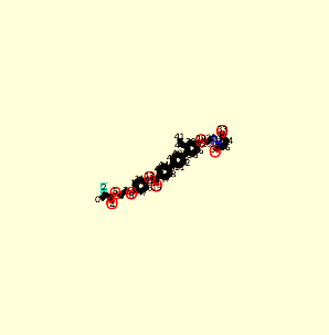 C=C(F)C(=O)OCCOC1=CC=C(OC(=O)c2ccc(-c3ccc(-c4ccc(OCCN5C(=O)C=CC5=O)cc4CC)cc3)cc2)CC1